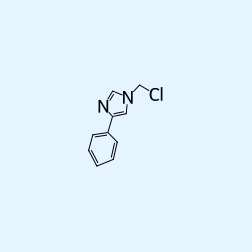 ClCn1cnc(-c2ccccc2)c1